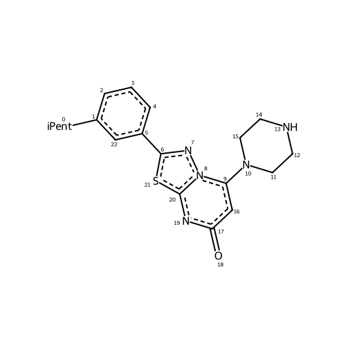 CCCC(C)c1cccc(-c2nn3c(N4CCNCC4)cc(=O)nc3s2)c1